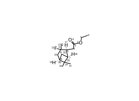 CCOC(=O)C[C@H]1[C@@H]2C[C@H](CC1(F)F)C2(C)C